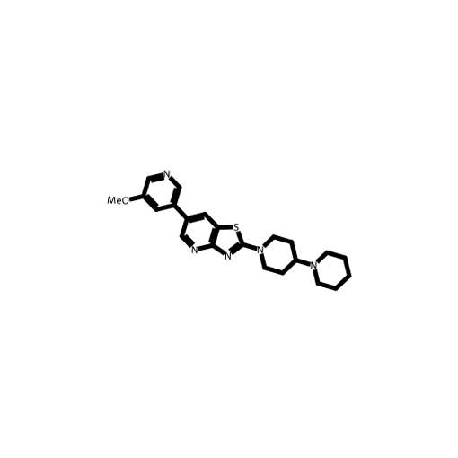 COc1cncc(-c2cnc3nc(N4CCC(N5CCCCC5)CC4)sc3c2)c1